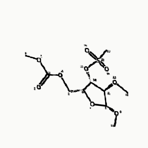 COC(=O)OC[C@H]1O[C@H](OC)[C@H](OC)[C@H]1OS(C)(=O)=O